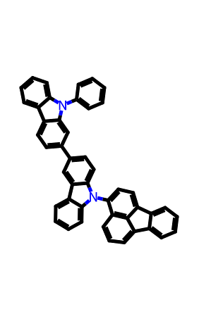 c1ccc(-n2c3ccccc3c3ccc(-c4ccc5c(c4)c4ccccc4n5-c4ccc5c6c(cccc46)-c4ccccc4-5)cc32)cc1